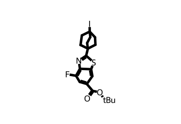 CC(C)(C)OC(=O)c1cc(F)c2nc(C34CCC(I)(CC3)CC4)sc2c1